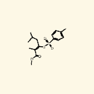 COC(=O)C(C)=C(CC(C)C)OS(=O)(=O)c1ccc(C)cc1